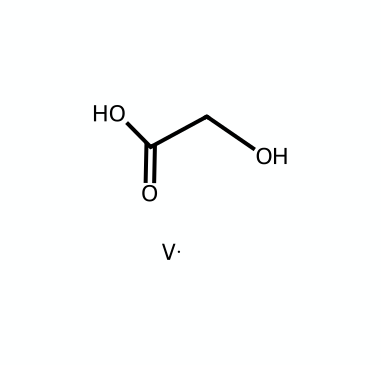 O=C(O)CO.[V]